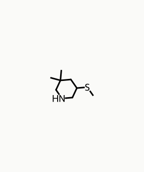 CSC1CNCC(C)(C)C1